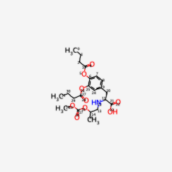 CCCC(=O)Oc1ccc(C[C@H](NCC(C)OC(=O)OC)C(=O)O)cc1OC(=O)CCC